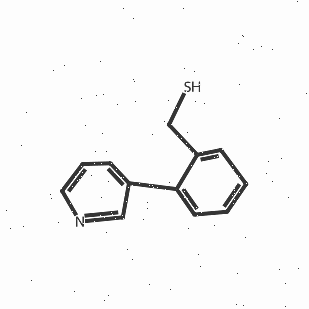 SCc1ccccc1-c1cccnc1